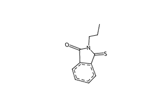 CCCN1C(=O)c2ccccc2C1=S